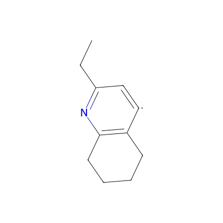 CCc1c[c]c2c(n1)CCCC2